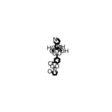 O=C1CCCN1C(=O)Oc1ccc(C2OP(=O)(O)C(O)(Cc3cccnc3)P(=O)(O)O2)cc1Cl